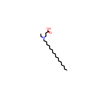 CCCCCCCCCCCCCCCCN(CC)CCC(=O)O